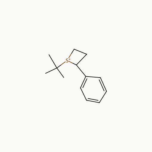 CC(C)(C)[S+]1CCC1c1ccccc1